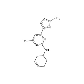 Cc1ccn(-c2cc(Cl)cc(NC3CC=CCC3)n2)n1